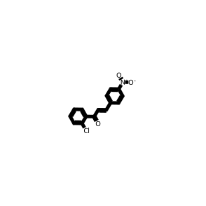 O=C(/C=C/c1ccc([N+](=O)[O-])cc1)c1ccccc1Cl